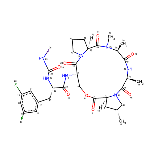 C[C@@H]1C[C@H]2C(=O)OC[C@H](NC(=O)[C@H](Cc3cc(F)cc(F)c3)NC(=O)NI)C(=O)N3CCC[C@H]3C(=O)N(C)[C@@H](C)C(=O)N[C@@H](C)C(=O)N2C1